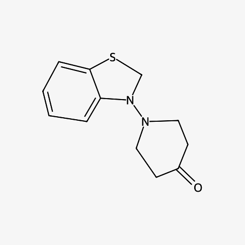 O=C1CCN(N2CSc3ccccc32)CC1